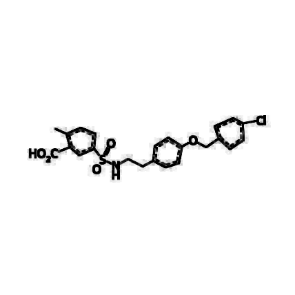 Cc1ccc(S(=O)(=O)NCCc2ccc(OCc3ccc(Cl)cc3)cc2)cc1C(=O)O